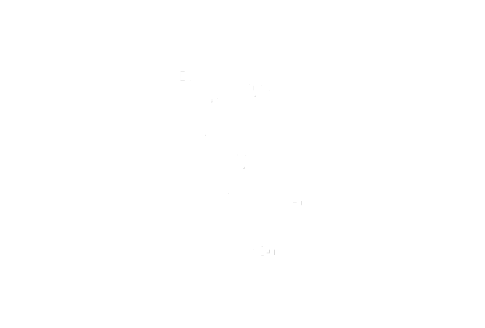 CCCCC(CC)[CH2][Sn][CH2]C(CC)CCCC